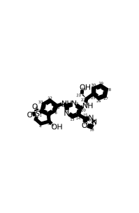 O=S1(=O)CCC(O)c2cc(Nc3ncc(-c4nnco4)c(N[C@H](CO)c4ccccc4)n3)ccc21